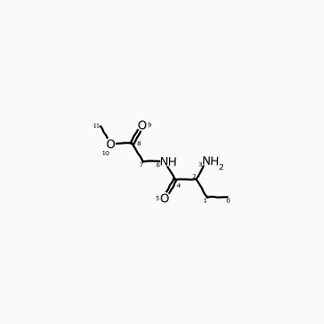 CCC(N)C(=O)NCC(=O)OC